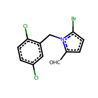 O=Cc1ccc(Br)n1Cc1cc(Cl)ccc1Cl